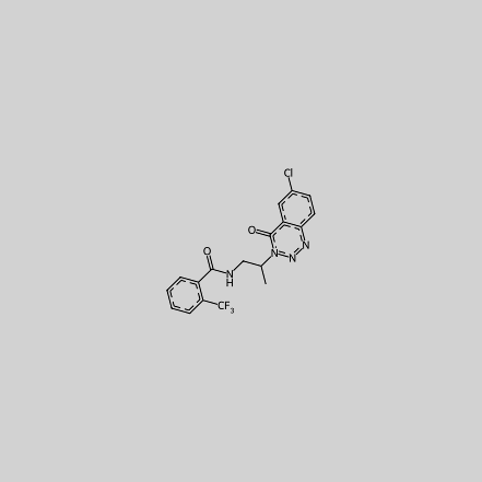 CC(CNC(=O)c1ccccc1C(F)(F)F)n1nnc2ccc(Cl)cc2c1=O